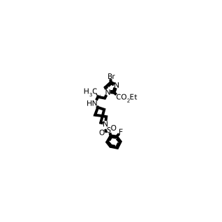 CCOC(=O)c1nc(Br)cn1C[C@@H](C)NC1CC2(C1)CN(S(=O)(=O)c1ccccc1F)C2